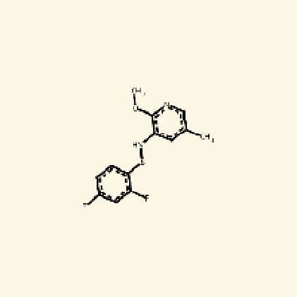 COc1ncc(C)cc1NSc1ccc(F)cc1F